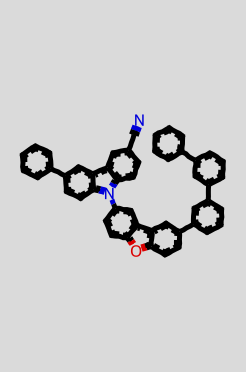 N#Cc1ccc2c(c1)c1cc(-c3ccccc3)ccc1n2-c1ccc2oc3ccc(-c4cccc(-c5cccc(-c6ccccc6)c5)c4)cc3c2c1